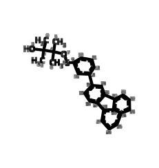 CC(C)(O)C(C)(C)OSc1cccc(-c2ccc3c(c2)-c2cccc4cccc-3c24)c1